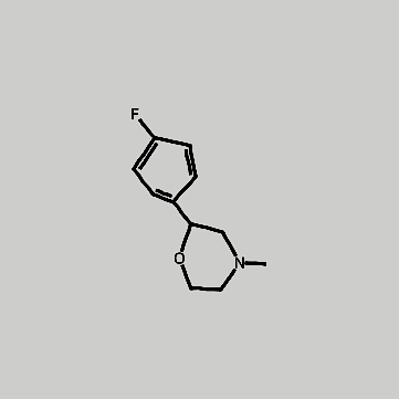 CN1CCOC(c2ccc(F)cc2)C1